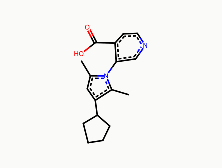 Cc1cc(C2CCCC2)c(C)n1-c1cnccc1C(=O)O